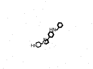 c1ccc(CNc2ccc(-c3ccn(C4CCNCC4)n3)cc2)cc1